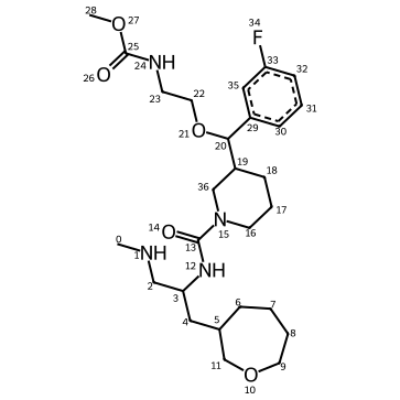 CNCC(CC1CCCCOC1)NC(=O)N1CCCC(C(OCCNC(=O)OC)c2cccc(F)c2)C1